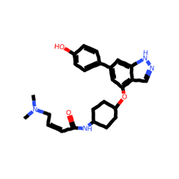 CN(C)C/C=C\C(=O)NC1CCC(Oc2cc(-c3ccc(O)cc3)cc3[nH]ncc23)CC1